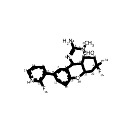 CN(C=O)/C(N)=N\C1c2cc(-c3cccnc3F)ccc2OC2CC(F)(F)CCC21